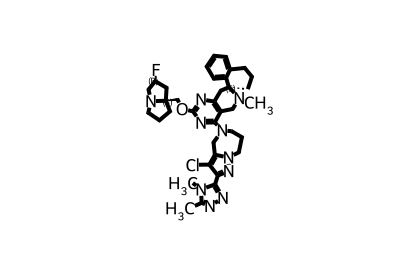 Cc1nnc(-c2nn3c(c2Cl)CN(c2nc(OC[C@@]45CCCN4C[C@H](F)C5)nc4c2CN(C)[C@@]2(CCCc5ccccc52)C4)CCC3)n1C